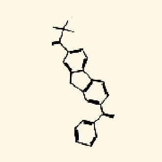 CC(C)(O)C(=O)c1ccc2c(c1)Cc1cc(C(=O)c3ccccc3)ccc1-2